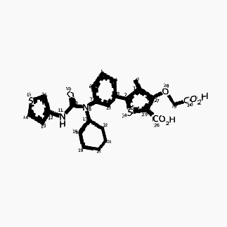 Cc1c(-c2cccc(N(C(=O)Nc3ccsc3)C3CCCCC3)c2)sc(C(=O)O)c1OCC(=O)O